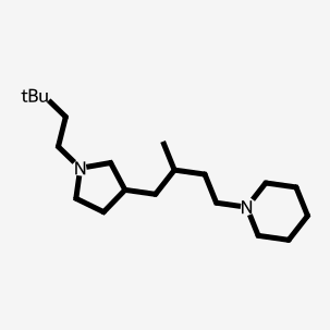 CC(CCN1CCCCC1)CC1CCN(CCC(C)(C)C)C1